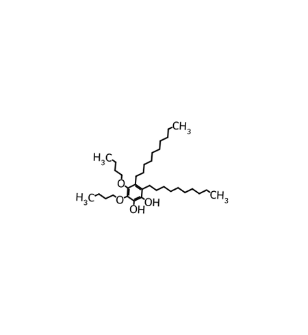 CCCCCCCCCCc1c(O)c(O)c(OCCCC)c(OCCCC)c1CCCCCCCCCC